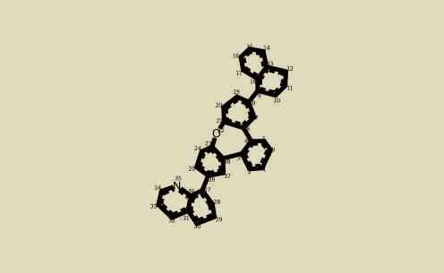 c1ccc2c(c1)-c1cc(-c3cccc4ccccc34)ccc1Oc1ccc(-c3cccc4cccnc34)cc1-2